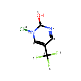 OC1N=CC(C(F)(F)F)=CN1Cl